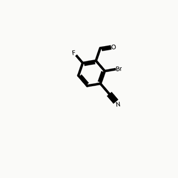 N#Cc1ccc(F)c(C=O)c1Br